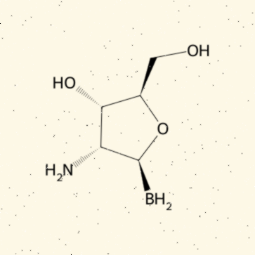 B[C@@H]1O[C@H](CO)[C@@H](O)[C@H]1N